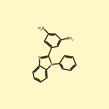 Bc1cc(B)cc(-c2nc3ccccc3n2-c2ccccc2)c1